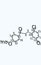 CCCCCOc1ccc(C(=O)CCc2cc(OC)ccc2Cl)cc1